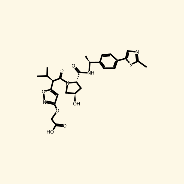 Cc1ncc(-c2ccc([C@H](C)NC(=O)[C@@H]3C[C@@H](O)CN3C(=O)[C@@H](c3cc(OCC(=O)O)no3)C(C)C)cc2)s1